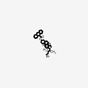 CC(C)CCC[C@@H](C)[C@H]1CC[C@H]2[C@@H]3CC=C4C[C@@H](OC(=O)c5c6ccccc6cc6ccccc56)CC[C@]4(C)[C@H]3CC[C@]12C